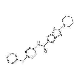 O=C(Nc1ccc(Oc2ccccc2)cc1)c1cc2sc(N3CCCCC3)nc2s1